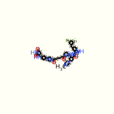 CN1CCN(c2ccc(C(=O)Nc3n[nH]c4ccc(Cc5cc(F)cc(F)c5)cc34)c(NC3CCCN(C(=O)CCCCCC(=O)N4CCN(c5ccc(NC6CCC(=O)NC6=O)cc5)CC4)C3)c2)CC1